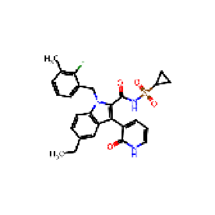 CCc1ccc2c(c1)c(-c1ccc[nH]c1=O)c(C(=O)NS(=O)(=O)C1CC1)n2Cc1cccc(C)c1F